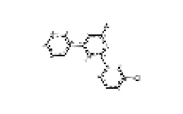 Clc1cccc(-c2nc(Cl)cc(-c3ccccc3)n2)c1